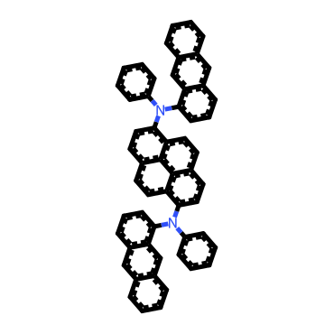 c1ccc(N(c2cccc3cc4ccccc4cc23)c2ccc3ccc4c(N(c5ccccc5)c5cccc6cc7ccccc7cc56)ccc5ccc2c3c54)cc1